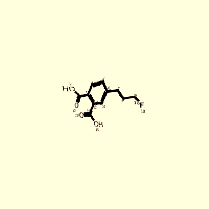 O=C(O)c1ccc(CCC[18F])cc1C(=O)O